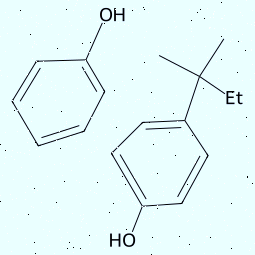 CCC(C)(C)c1ccc(O)cc1.Oc1ccccc1